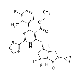 CCOC(=O)C1=C(CN2CC(F)(F)[C@@H]3C(=O)N(C4CC4)C[C@@H]32)NC(c2nccs2)=N[C@H]1c1cccc(F)c1C